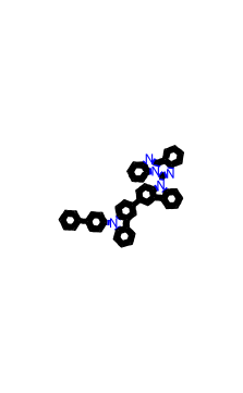 c1ccc(-c2ccc(-n3c4ccccc4c4cc(-c5ccc6c(c5)c5ccccc5n6-c5nc6ccccc6c6nc7ccccc7n56)ccc43)cc2)cc1